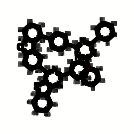 c1ccc(-c2nc(-c3ccccc3)nc(-c3ccc(-c4cccc5oc6ccc(-c7nc(-c8ccccc8)nc8c7sc7ccccc78)cc6c45)cc3)n2)cc1